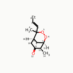 CC/C=C/C1(C)OO[C@@H]2C[C@H]1CC(=O)[C@@H]2C